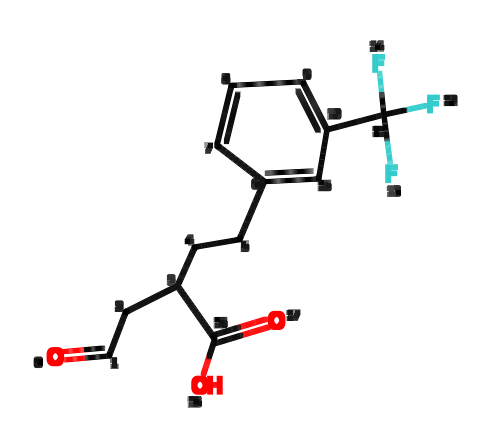 O=CCC(CCc1cccc(C(F)(F)F)c1)C(=O)O